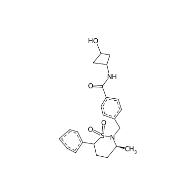 C[C@H]1CCC(c2ccccc2)S(=O)(=O)N1Cc1ccc(C(=O)NC2CC(O)C2)cc1